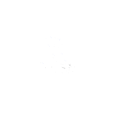 O=C(O)[C@H]1C2CCC(CC2)[C@@H]1Nc1nc(-c2c[nH]c3ncc(Cl)nc23)nc(-c2ccno2)c1F